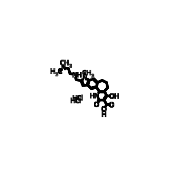 CN(C)CCNCc1cc2cc3c(cc2n1C)CCCc1c-3[nH]c(=O)c(C(=O)O)c1O.Cl.Cl